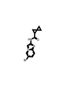 O=C(Nc1cn2cc(Br)ccc2n1)C1CC12CC2